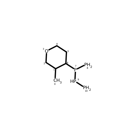 CC1COCCC1P(P)PP